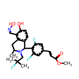 COC(=O)/C=C/c1cc(F)c(C2c3ccc(O)c(/C=N\O)c3CC(C)N2CC(C)(C)F)c(F)c1